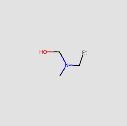 CCCN(C)CO